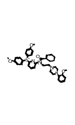 COc1ccc([S+](c2ccc(OC)cc2)c2cccc(N(CCN3CCN(c4ccccc4OC)CC3)C(=O)C3CCCCC3)n2)cc1